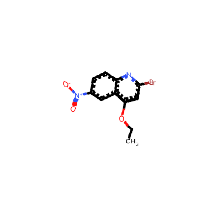 CCOc1cc(Br)nc2ccc([N+](=O)[O-])cc12